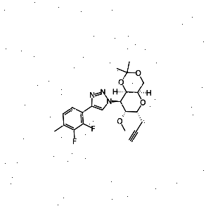 C#CC[C@H]1O[C@@H]2COC(C)(C)O[C@@H]2[C@H](n2cc(-c3ccc(C)c(F)c3F)nn2)[C@H]1OC